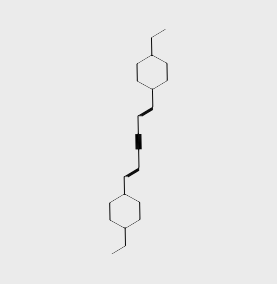 CCC1CCC(C=CC#CC=CC2CCC(CC)CC2)CC1